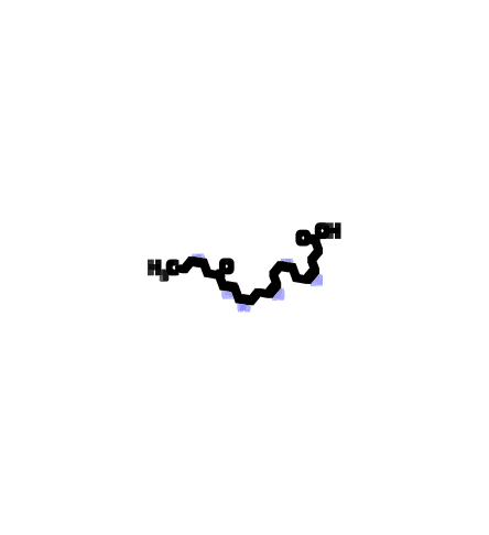 CC/C=C\CC(=O)/C=C/C=C\C/C=C\C/C=C\C/C=C\CCC(=O)O